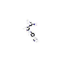 CNC1C=C(C#N)C=C(c2c[nH]c(=O)c(NC(=O)c3ccc(N4CCNCC4)cc3)c2)N1